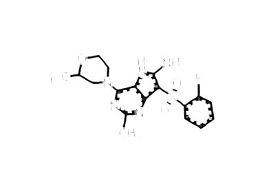 Cc1nc(N2CCOC(C(F)(F)F)C2)c2[nH]c(N)c(S(=O)(=O)c3ccccc3F)c2n1